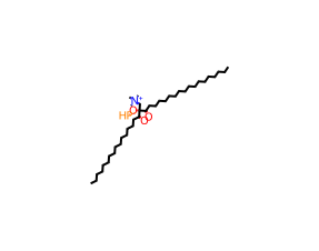 CCCCCCCCCCCCCCCCCC(=O)C(C[N+](C)(C)C)(O[PH-])C(=O)CCCCCCCCCCCCCCC